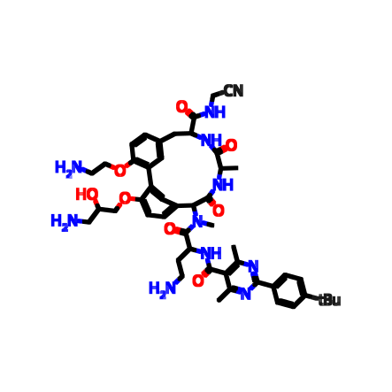 Cc1nc(-c2ccc(C(C)(C)C)cc2)nc(C)c1C(=O)NC(CCN)C(=O)N(C)C1C(=O)NC(C)C(=O)NC(C(=O)NCC#N)Cc2ccc(OCCN)c(c2)-c2cc1ccc2OCC(O)CN